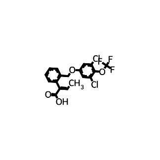 C/C=C(/C(=O)O)c1ccccc1COc1cc(Cl)c(OC(F)(F)F)c(Cl)c1